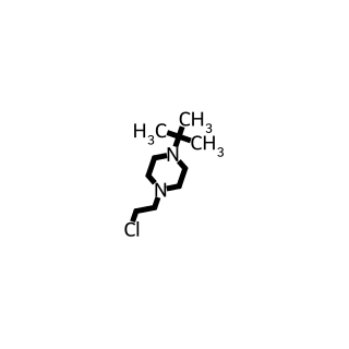 CC(C)(C)N1CCN(CCCl)CC1